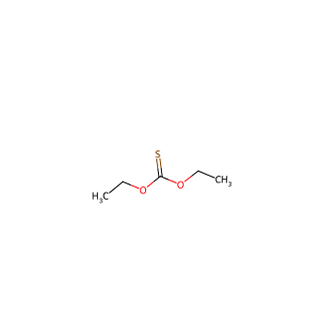 CCOC(=S)OCC